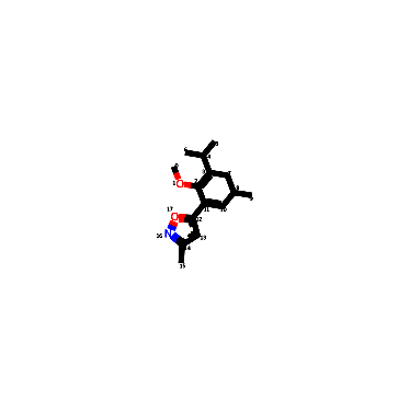 COC1=C(C(C)C)CC(C)C=C1c1cc(C)no1